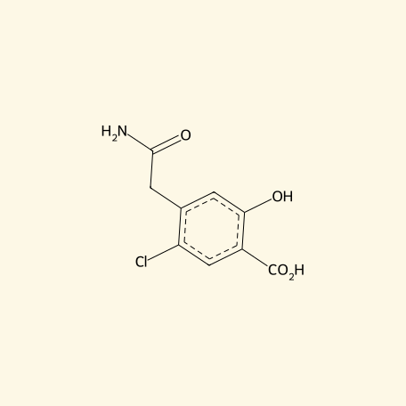 NC(=O)Cc1cc(O)c(C(=O)O)cc1Cl